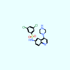 O=S(=O)(Nc1ccc2nccc(N3CCNCC3)c2c1)c1cc(Cl)cc(Cl)c1